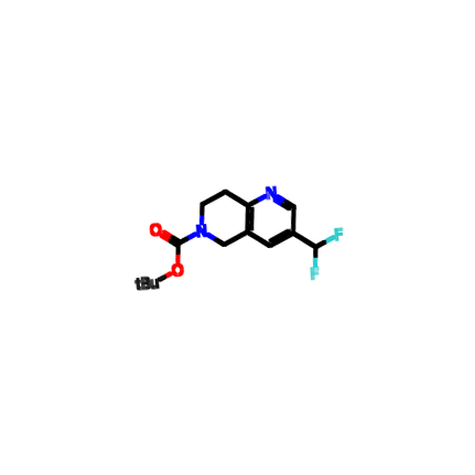 CC(C)(C)OC(=O)N1CCc2ncc(C(F)F)cc2C1